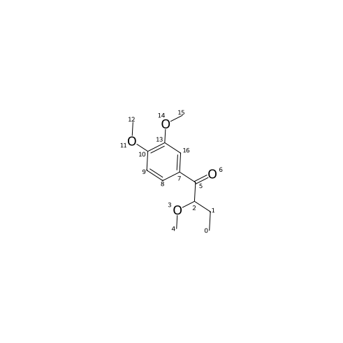 CCC(OC)C(=O)c1ccc(OC)c(OC)c1